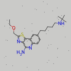 CCOCc1nc2c(N)nc3ccc(CCCCCNC(C)(C)C)cc3c2s1